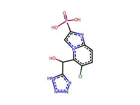 O=P(O)(O)c1cn2c(C(O)c3nnn[nH]3)c(Cl)ccc2n1